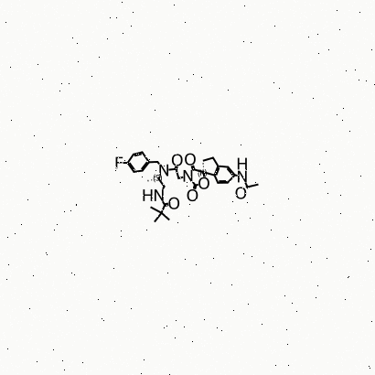 CC(=O)Nc1ccc2c(c1)CC[C@@]21OC(=O)N(CC(=O)N(Cc2ccc(F)cc2)[C@@H](C)CNC(=O)C(C)(C)C)C1=O